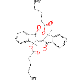 CC(C)CCCC(=O)O[C@@]1(C)/C(=C2\C(=O)c3ccccc3[C@]2(C)OC(=O)CCCC(C)C)C(=O)c2ccccc21